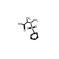 CC(C(=O)O)N(N)S(=O)(=O)c1ccccc1